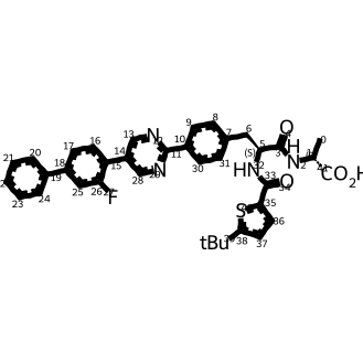 C[C@@H](NC(=O)[C@H](Cc1ccc(-c2ncc(-c3ccc(-c4ccccc4)cc3F)cn2)cc1)NC(=O)c1ccc(C(C)(C)C)s1)C(=O)O